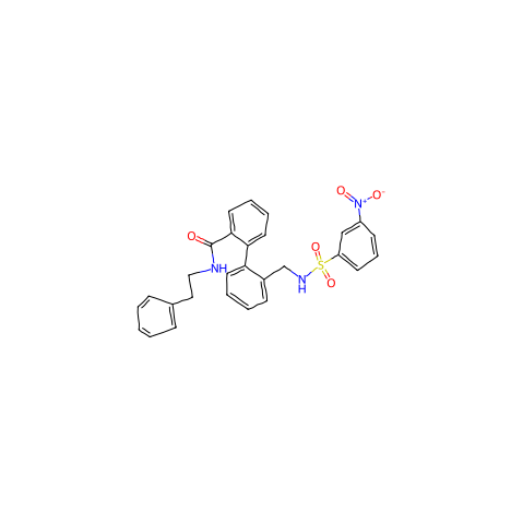 O=C(NCCc1ccccc1)c1ccccc1-c1ccccc1CNS(=O)(=O)c1cccc([N+](=O)[O-])c1